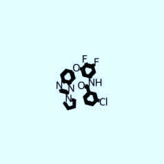 O=C(Nc1cc(F)c(F)c(Oc2ccc3ncc(N4CCCC4)nc3c2)c1)c1cccc(Cl)c1